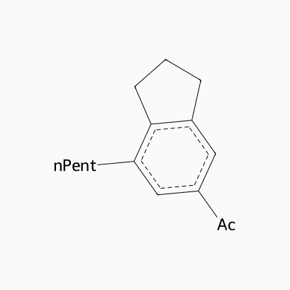 CCCCCc1cc(C(C)=O)cc2c1CCC2